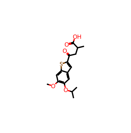 COc1cc2sc(C(=O)CC(C)C(=O)O)cc2cc1OC(C)C